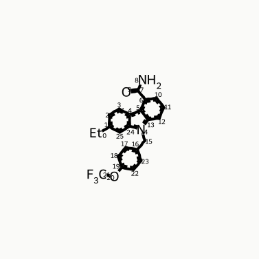 CCc1c[c]c2c3c(C(N)=O)cccc3n(Cc3ccc(OC(F)(F)F)cc3)c2c1